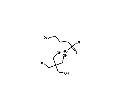 CCCCCCCCCCCCSP(O)(O)=S.OCC(CO)(CO)CO